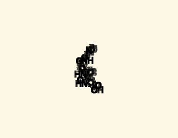 O=C1Nc2cc(C(=O)O)ccc2/C1=C(/Nc1ccc(C(=O)NOCCN2CCCCC2)cc1)c1ccccc1